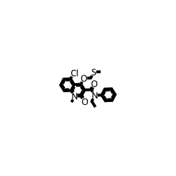 CCN(C(=O)c1c(OCSC)c2c(Cl)cccc2n(C)c1=O)c1ccccc1